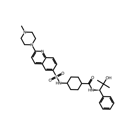 CN1CCN(c2ccc3cc(S(=O)(=O)NC4CCC(C(=O)N[C@H](c5ccccc5)C(C)(C)O)CC4)ccc3n2)CC1